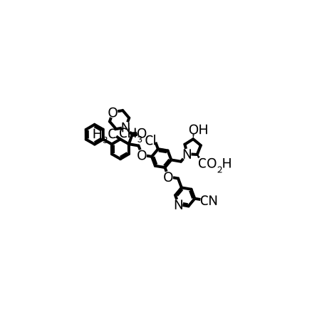 CC1(C)C(c2ccccc2)=CC=CC1(COc1cc(OCc2cncc(C#N)c2)c(CN2C[C@H](O)C[C@H]2C(=O)O)cc1Cl)C(=O)N1CCOCC1